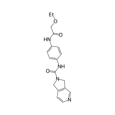 CCOCC(=O)Nc1ccc(NC(=O)N2Cc3ccncc3C2)cc1